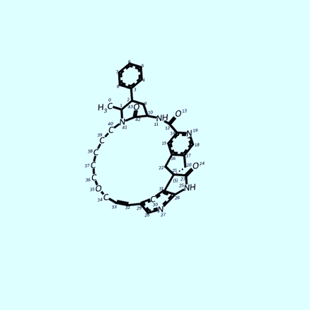 CC1C(c2ccccc2)CC2NC(=O)c3cc4c(cn3)C[C@]3(C4)C(=O)Nc4ncc(cc43)C=CCOCCCCCN1C2=O